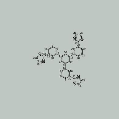 c1cc(-c2cc(-c3cccc(-c4nccs4)c3)cc(-c3cccc(-c4nccs4)c3)c2)cc(-c2nccs2)c1